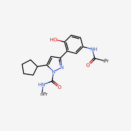 CCCNC(=O)n1nc(-c2cc(NC(=O)C(C)C)ccc2O)cc1C1CCCC1